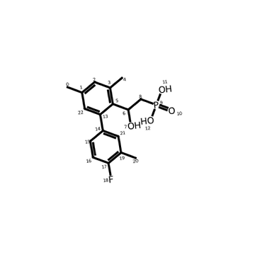 Cc1cc(C)c(C(O)CP(=O)(O)O)c(-c2ccc(F)c(C)c2)c1